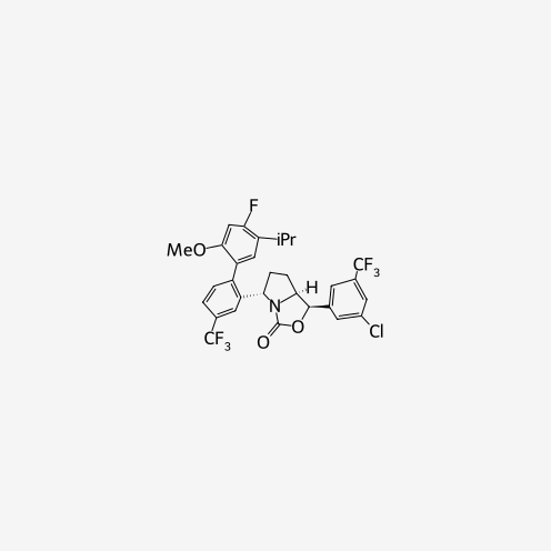 COc1cc(F)c(C(C)C)cc1-c1ccc(C(F)(F)F)cc1[C@@H]1CC[C@H]2[C@@H](c3cc(Cl)cc(C(F)(F)F)c3)OC(=O)N12